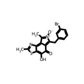 CC1=[N+]([O-])C(Cc2cccc(Br)c2)=C2C(=O)C(O)=c3sc(C)nc3=C21